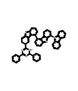 C1=c2sc3cccc(-c4cccc5sc6c(-n7c8ccccc8c8ccccc87)cccc6c45)c3c2=CC(C2=NC(c3ccccc3)=NC(c3ccccc3)N2)C1